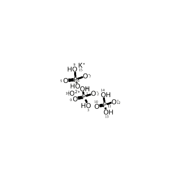 O=P([O-])(O)O.O=P([O-])(O)O.O=P([O-])(O)O.[K+].[O+2]